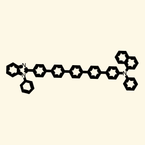 C1=CCC(n2c(-c3ccc(-c4ccc(-c5ccc(-c6ccc(-c7ccc(N(c8ccccc8)c8cccc9ccccc89)cc7)cc6)cc5)cc4)cc3)nc3ccccc32)C=C1